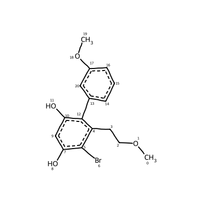 COCCc1c(Br)c(O)cc(O)c1-c1cccc(OC)c1